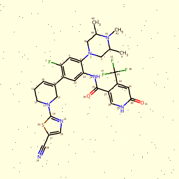 CC1CN(c2cc(F)c(C3=CCCN(c4ncc(C#N)s4)C3)cc2NC(=O)c2c[nH]c(=O)cc2C(F)(F)F)CC(C)N1C